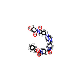 O=C1CCC(N2Cc3cc(N4CCN(CC5CCN(C(=O)C6CCN(C(=O)OCc7ccccc7)CC6)CC5)CC4)ccc3C2=O)C(=O)C1